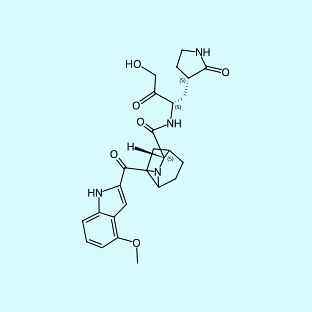 COc1cccc2[nH]c(C(=O)N3C4CCC(CC4)[C@H]3C(=O)N[C@@H](C[C@@H]3CCNC3=O)C(=O)CO)cc12